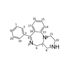 c1ccc(C2=NCC3CNCCN3c3ccccc32)cc1